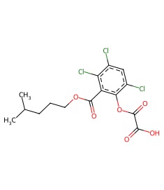 CC(C)CCCOC(=O)c1c(Cl)c(Cl)cc(Cl)c1OC(=O)C(=O)O